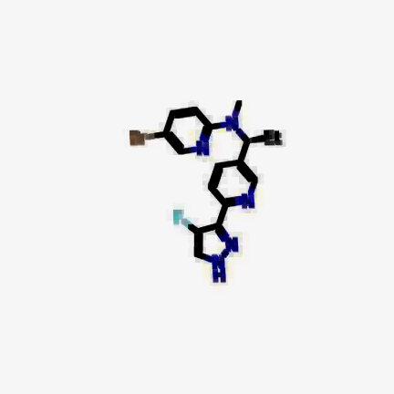 CC[C@@H](c1ccc(-c2n[nH]cc2F)nc1)N(C)c1ccc(Br)cn1